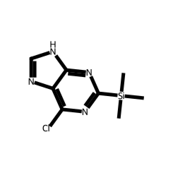 C[Si](C)(C)c1nc(Cl)c2nc[nH]c2n1